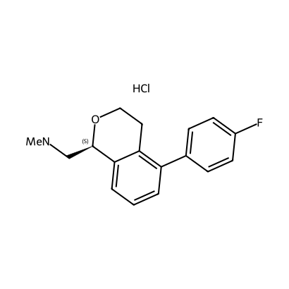 CNC[C@H]1OCCc2c(-c3ccc(F)cc3)cccc21.Cl